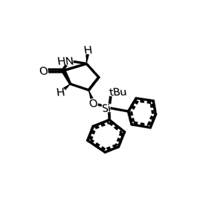 CC(C)(C)[Si](O[C@@H]1C[C@@H]2C[C@H]1C(=O)N2)(c1ccccc1)c1ccccc1